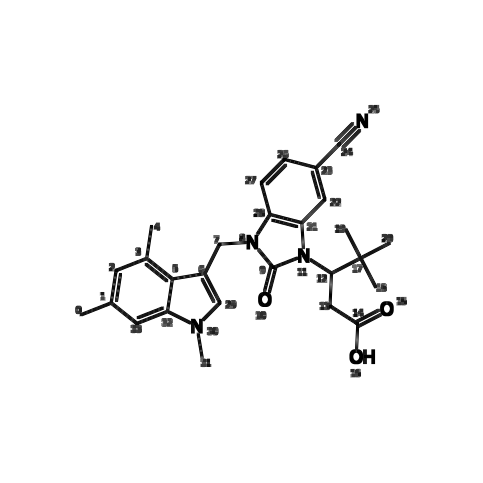 Cc1cc(C)c2c(Cn3c(=O)n(C(CC(=O)O)C(C)(C)C)c4cc(C#N)ccc43)cn(C)c2c1